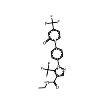 CCNC(=O)c1cnn(-c2ccc(-n3ccc(C(F)(F)F)cc3=O)cc2)c1C(F)(F)F